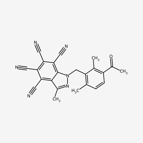 CC(=O)c1ccc(C)c(Cn2nc(C)c3c(C#N)c(C#N)c(C#N)c(C#N)c32)c1C